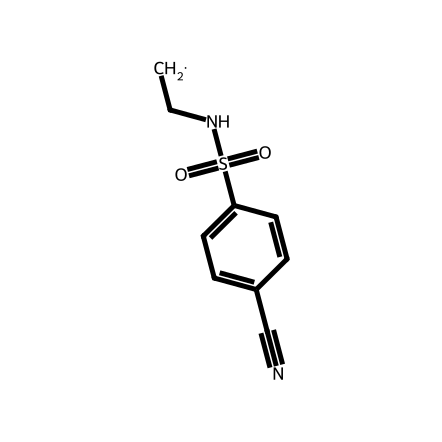 [CH2]CNS(=O)(=O)c1ccc(C#N)cc1